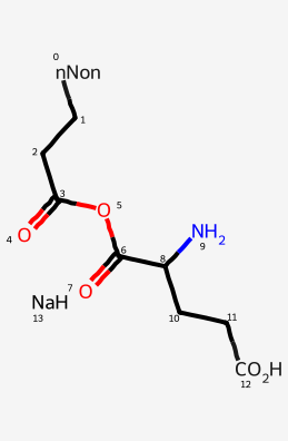 CCCCCCCCCCCC(=O)OC(=O)C(N)CCC(=O)O.[NaH]